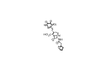 CCn1c(SCC2=C(C(=O)O)N3C(=O)[C@@H](NC(=O)Cc4ccco4)[C@@H]3SC2)n[nH]c(=O)c1=O